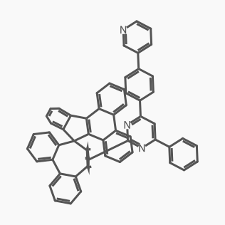 c1ccc(-c2cc(-c3ccc(-c4cccnc4)cc3)nc(-c3ccc4c(c3)C3(c5ccccc5-c5ccccc5-4)c4ccccc4-c4c3c3ccccc3c3ccccc43)n2)cc1